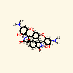 CCN(CC)c1ccc2c(c1)Oc1cc3c(cc1C21c2ccccc2C(=O)N1O)C1(c2ccc(N(CC)CC)cc2O3)c2ccccc2C(=O)N1O